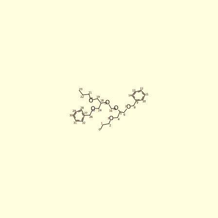 CCCOCC(COCc1ccccc1)OCOC(COCCC)COCc1ccccc1